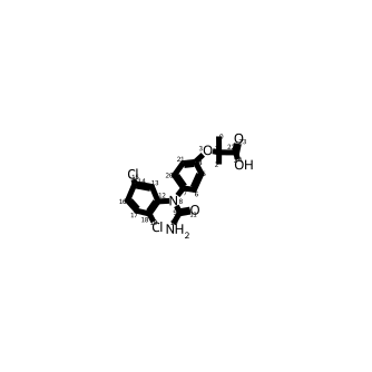 CC(C)(Oc1ccc(N(C(N)=O)c2cc(Cl)ccc2Cl)cc1)C(=O)O